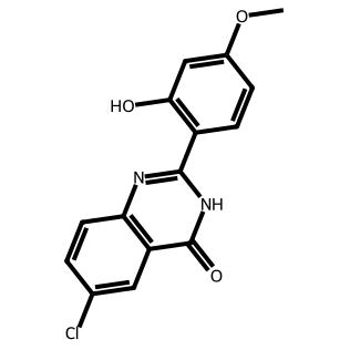 COc1ccc(-c2nc3ccc(Cl)cc3c(=O)[nH]2)c(O)c1